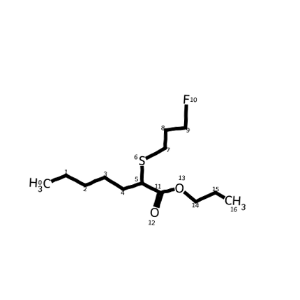 CCCCCC(SCCCF)C(=O)OCCC